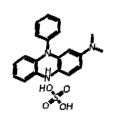 CN(C)c1ccc2c(c1)N(c1ccccc1)c1ccccc1N2.O=S(=O)(O)O